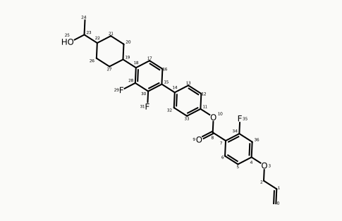 C=CCOc1ccc(C(=O)Oc2ccc(-c3ccc(C4CCC(C(C)O)CC4)c(F)c3F)cc2)c(F)c1